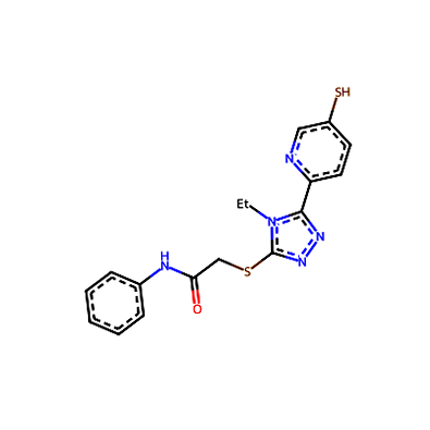 CCn1c(SCC(=O)Nc2ccccc2)nnc1-c1ccc(S)cn1